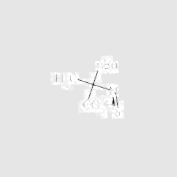 CCCCC(C)(N=S)C(=O)O